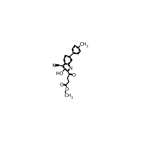 CCOC(=O)CCC(=O)c1nc2cc(-c3ccc(C)cc3)ccc2c(C#N)c1O